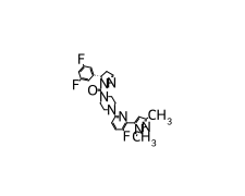 Cc1cc(-c2nc(N3CCN(C(=O)N4N=CC[C@H]4c4cc(F)cc(F)c4)CC3)ccc2F)n(C)n1